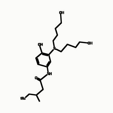 CC(CC(=O)Nc1ccc(O)c(N(CCCCO)CCCCO)c1)CC(C)(C)C